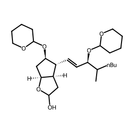 CCCCC(C)[C@@H](C=C[C@@H]1[C@H]2CC(O)O[C@H]2C[C@H]1OC1CCCCO1)OC1CCCCO1